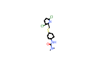 CN(C)C(=O)Nc1ccc(SCc2nc(Cl)ccc2Cl)cc1